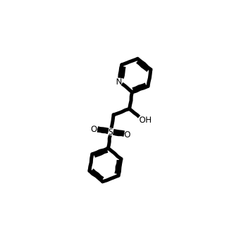 O=S(=O)(CC(O)c1ccccn1)c1ccccc1